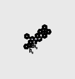 C=C/C(=C\C=C/N(c1ccccc1)c1cccc(C2(c3ccccc3)c3ccccc3-c3ccccc32)c1)N(/C=C\Cc1ccccc1)c1ccc2c(c1)C(C)(C)c1ccccc1-2